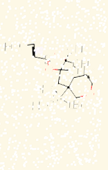 C/C=C/B1OC(C)(C)C(C)(CC2([Si](C)(C)C(C)(C)C)CCCOC2)O1